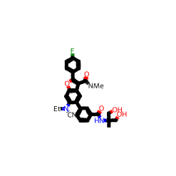 CCN(C#N)c1cc2oc(-c3ccc(F)cc3)c(C(=O)NC)c2cc1-c1cccc(C(=O)NC(C)(CO)CO)c1